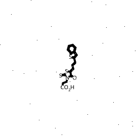 O=C(O)CCN1C(=O)C(=CC=Cc2cc3ccccc3s2)SC1=S